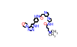 CN(C)C/C=C/C(=O)NC1CCN(c2ccnc(CC(=O)Nc3ccc(-c4cc5c(N6CCOCC6)ncnc5[nH]4)cc3)c2)C1